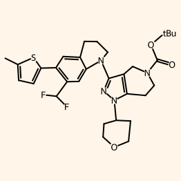 Cc1ccc(-c2cc3c(cc2C(F)F)N(c2nn(C4CCOCC4)c4c2CN(C(=O)OC(C)(C)C)CC4)CCC3)s1